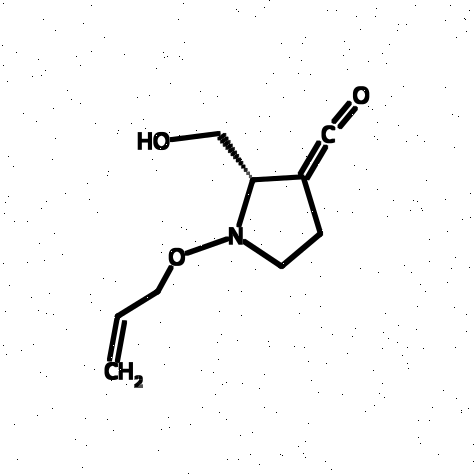 C=CCON1CCC(=C=O)[C@H]1CO